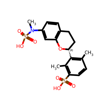 Cc1ccc(S(=O)(=O)O)c(C)c1[C@H]1CCc2ccc(N(C)S(=O)(=O)O)cc2O1